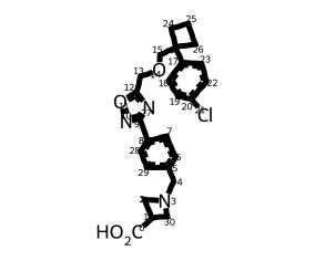 O=C(O)C1CN(Cc2ccc(-c3noc(COCC4(c5ccc(Cl)cc5)CCC4)n3)cc2)C1